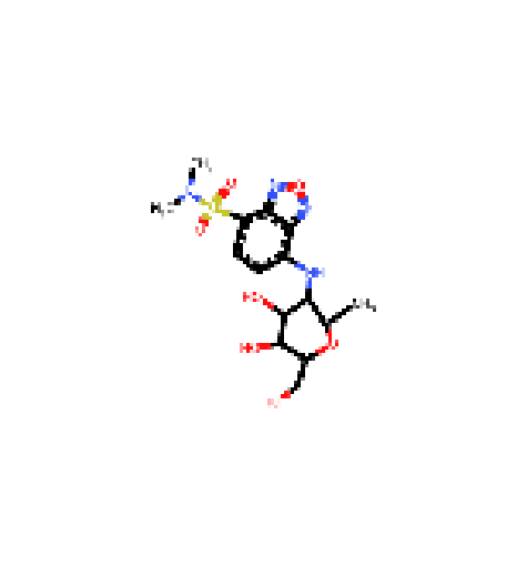 CC1OC(CO)C(O)C(O)C1Nc1ccc(S(=O)(=O)N(C)C)c2nonc12